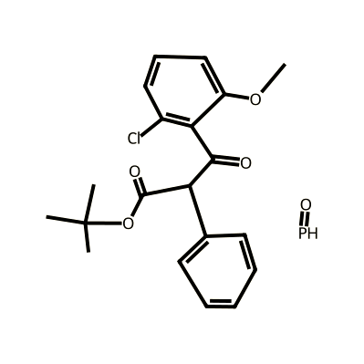 COc1cccc(Cl)c1C(=O)C(C(=O)OC(C)(C)C)c1ccccc1.O=P